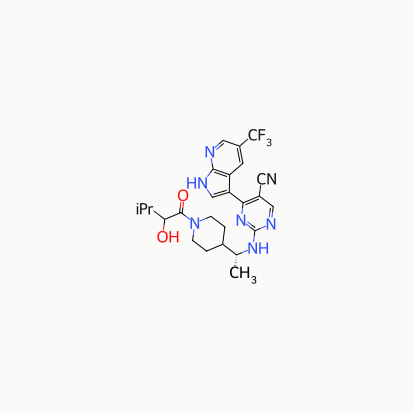 CC(C)C(O)C(=O)N1CCC([C@@H](C)Nc2ncc(C#N)c(-c3c[nH]c4ncc(C(F)(F)F)cc34)n2)CC1